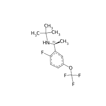 C[C@H](NC(C)(C)C)c1cc(OC(F)(F)F)ccc1F